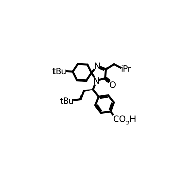 CC(C)CC1=NC2(CCC(C(C)(C)C)CC2)N([C@H](CCC(C)(C)C)c2ccc(C(=O)O)cc2)C1=O